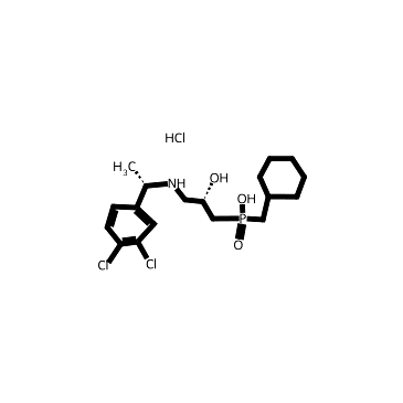 C[C@H](NC[C@H](O)CP(=O)(O)CC1CCCCC1)c1ccc(Cl)c(Cl)c1.Cl